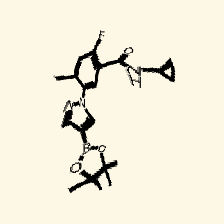 Cc1cc(F)c(C(=O)NC2CC2)cc1-n1cc(B2OC(C)(C)C(C)(C)O2)cn1